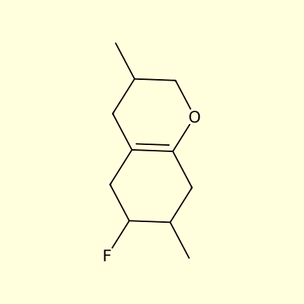 CC1COC2=C(C1)CC(F)C(C)C2